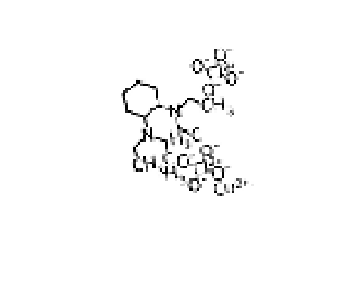 CCN(CC)C1CCCCC1N(CC)CC.[Cu+2].[O-][Cl+3]([O-])([O-])[O-].[O-][Cl+3]([O-])([O-])[O-]